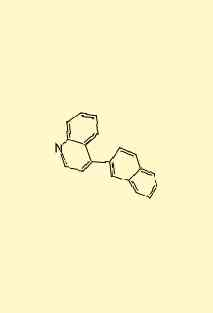 c1ccc2cc(-c3ccnc4ccccc34)ccc2c1